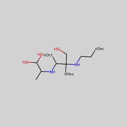 C[CH]CCCCCCCCCCNC(CO)(CCCCCC)C(CCCCCCCC)NC(C)C(O)O